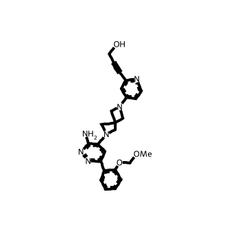 COCOc1ccccc1-c1cc(N2CC3(CN(c4ccnc(C#CCO)c4)C3)C2)c(N)nn1